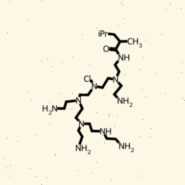 CC(C)CC(C)C(=O)NCCN(CCN)CCN(Cl)CCN(CCN)CCN(CCN)CCNCCN